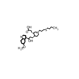 CCCCSCCCN1CC[C@@H](CC[C@@H](O)c2ccnc3ccc(OC)cc23)[C@H](CCC(=O)O)C1